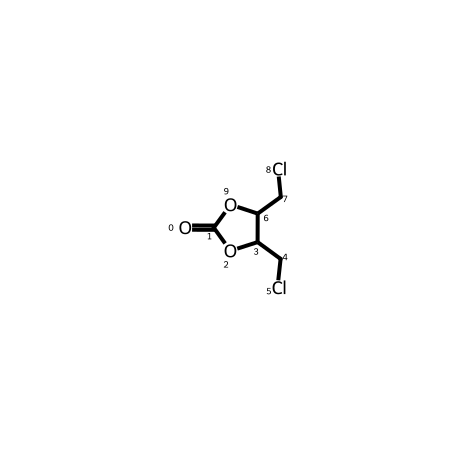 O=C1OC(CCl)C(CCl)O1